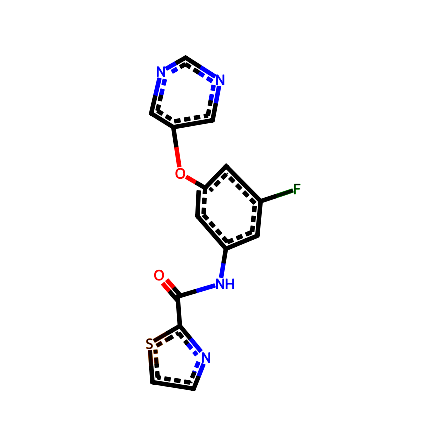 O=C(Nc1cc(F)cc(Oc2cncnc2)c1)c1nccs1